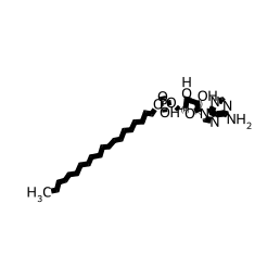 CCCCCCCCCCCCCCCCCCCCOP(=O)(O)OC[C@H]1O[C@@H](n2cnc3c(N)ncnc32)[C@@H](O)[C@@H]1O